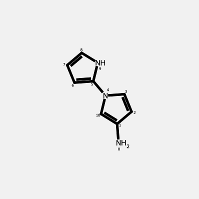 Nc1ccn(-c2ccc[nH]2)c1